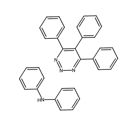 c1ccc(-c2nnnc(-c3ccccc3)c2-c2ccccc2)cc1.c1ccc(Nc2ccccc2)cc1